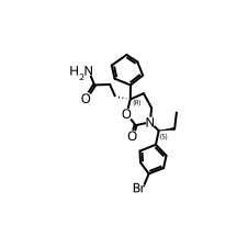 CC[C@@H](c1ccc(Br)cc1)N1CC[C@](CCC(N)=O)(c2ccccc2)OC1=O